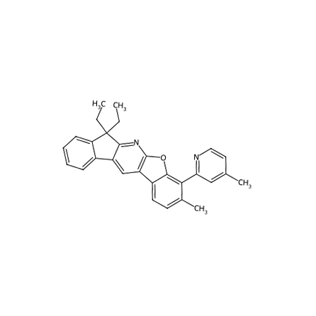 CCC1(CC)c2ccccc2-c2cc3c(nc21)oc1c(-c2cc(C)ccn2)c(C)ccc13